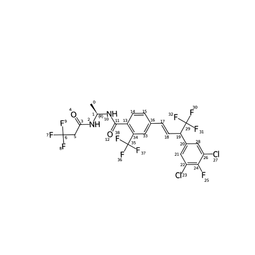 C[C@H](NC(=O)CC(F)(F)F)NC(=O)c1ccc(C=CC(c2cc(Cl)c(F)c(Cl)c2)C(F)(F)F)cc1C(F)(F)F